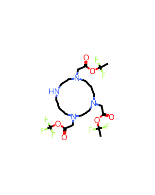 CC(F)(F)OC(=O)CN1CCCN(CC(=O)OC(C)(F)F)CCN(CC(=O)OC(F)(F)F)CCCNCC1